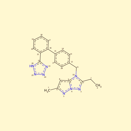 CCc1nn2nc(C)cc2n1Cc1ccc(-c2ccccc2-c2nnn[nH]2)cc1